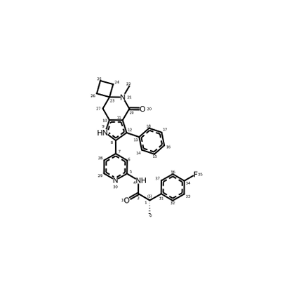 C[C@H](C(=O)Nc1cc(-c2[nH]c3c(c2-c2ccccc2)C(=O)N(C)C2(CCC2)C3)ccn1)c1ccc(F)cc1